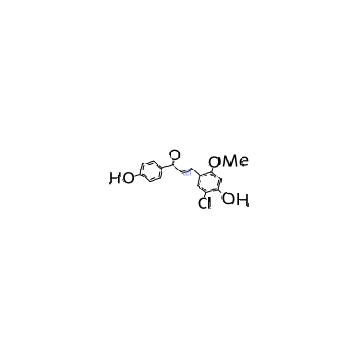 COc1cc(O)c(Cl)cc1/C=C/C(=O)c1ccc(O)cc1